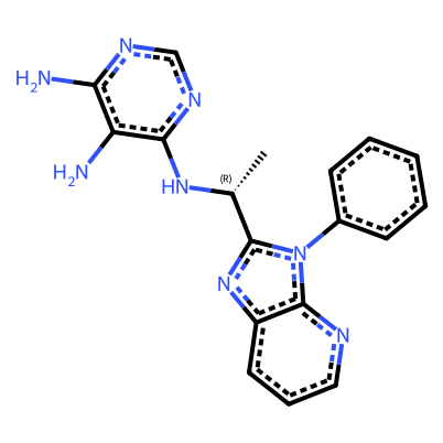 C[C@@H](Nc1ncnc(N)c1N)c1nc2cccnc2n1-c1ccccc1